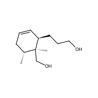 C[C@@H]1CC=C[C@@H](CCCO)[C@@]1(C)CO